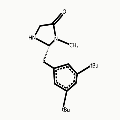 CN1C(=O)CN[C@H]1Cc1cc(C(C)(C)C)cc(C(C)(C)C)c1